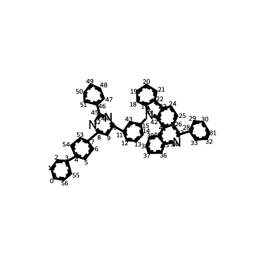 c1ccc(-c2ccc(-c3cc(-c4cccc(-n5c6ccccc6c6ccc7c(-c8ccccc8)nc8ccccc8c7c65)c4)nc(-c4ccccc4)n3)cc2)cc1